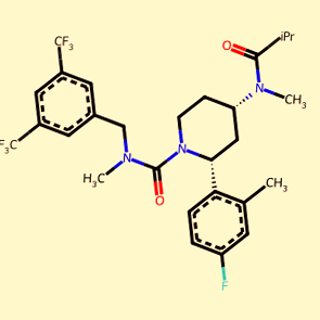 Cc1cc(F)ccc1[C@H]1C[C@@H](N(C)C(=O)C(C)C)CCN1C(=O)N(C)Cc1cc(C(F)(F)F)cc(C(F)(F)F)c1